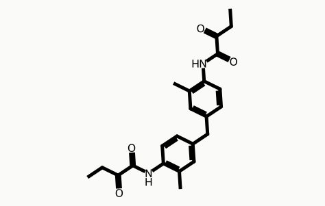 CCC(=O)C(=O)Nc1ccc(Cc2ccc(NC(=O)C(=O)CC)c(C)c2)cc1C